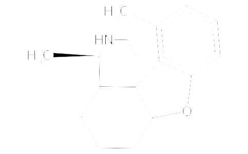 Cc1cccc2c1[C@]13CCN[C@H](C)C1CCCC3O2